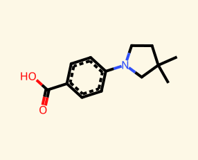 CC1(C)CCN(c2ccc(C(=O)O)cc2)C1